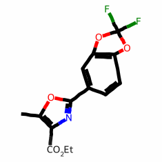 CCOC(=O)c1nc(-c2ccc3c(c2)OC(F)(F)O3)oc1C